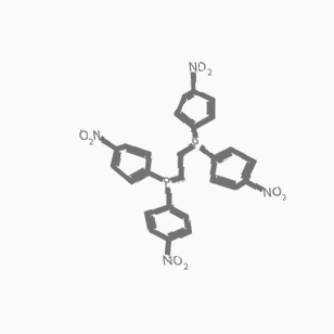 O=[N+]([O-])c1ccc(P(CCP(c2ccc([N+](=O)[O-])cc2)c2ccc([N+](=O)[O-])cc2)c2ccc([N+](=O)[O-])cc2)cc1